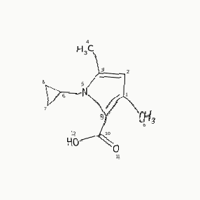 Cc1cc(C)n(C2CC2)c1C(=O)O